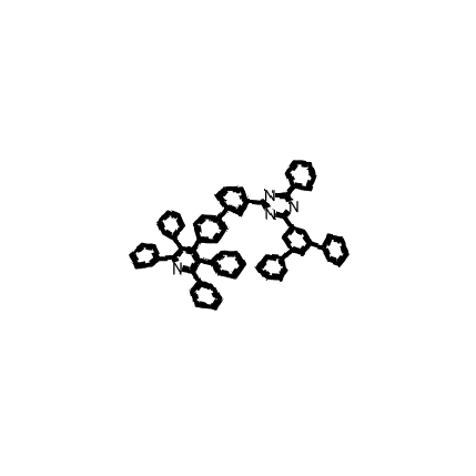 c1ccc(-c2cc(-c3ccccc3)cc(-c3nc(-c4ccccc4)nc(-c4cccc(-c5ccc(-c6c(-c7ccccc7)c(-c7ccccc7)nc(-c7ccccc7)c6-c6ccccc6)cc5)c4)n3)c2)cc1